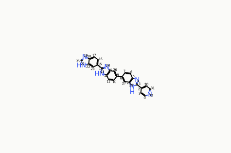 c1cc(-c2nc3ccc(-c4ccc5[nH]c(-c6ccc7nc[nH]c7c6)nc5c4)cc3[nH]2)ccn1